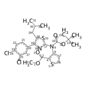 COC(=O)c1sccc1N(C(=O)OC(C)(C)C)c1nc(-c2ccc(Cl)c(Cl)c2)c(CC(C)C)s1